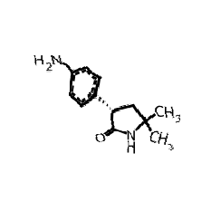 CC1(C)C[C@@H](c2ccc(N)cc2)C(=O)N1